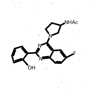 CC(=O)NC1CCN(c2nc(-c3ccccc3O)nc3ccc(F)cc23)C1